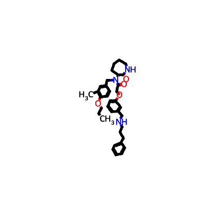 CCCOc1ccc(CN(C(=O)COc2cccc(CNCCCc3ccccc3)c2)[C@H]2CCCCNC2=O)cc1C